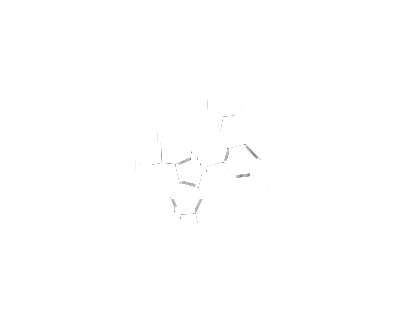 FC(F)Oc1ccc(Cl)cc1-n1nc(C(Br)Br)c2cnc(Cl)cc21